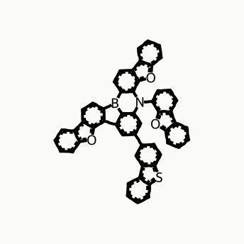 c1ccc2c(c1)oc1c(N3c4cc(-c5ccc6sc7ccccc7c6c5)cc5c4B(c4ccc6c(oc7ccccc76)c4-5)c4ccc5c(oc6ccccc65)c43)cccc12